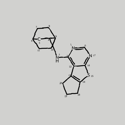 c1nc(NC2CC3CCC2CC3)c2c3c(sc2n1)CCC3